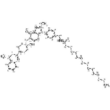 C[C@H](CC(=O)N1CCC(O)(Cn2cnc3c(-c4ccc(CNC(=O)CCOCCOCCOCCOCCN)cc4)n(C)nc3c2=O)CC1)c1ccccc1